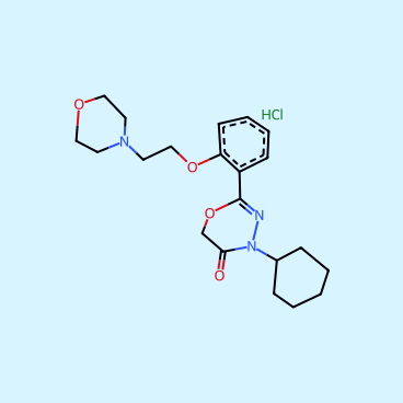 Cl.O=C1COC(c2ccccc2OCCN2CCOCC2)=NN1C1CCCCC1